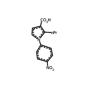 CCCc1c(C(=O)O)ccn1-c1ccc([N+](=O)[O-])cc1